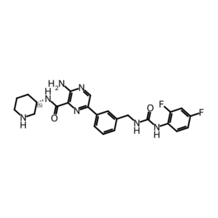 Nc1ncc(-c2cccc(CNC(=O)Nc3ccc(F)cc3F)c2)nc1C(=O)N[C@H]1CCCNC1